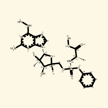 CCCNc1nc(N)nc2c1ncn2[C@@H]1O[C@](F)(CO[P@@](=O)(N[C@@H](C)C(=O)OC(C)C)Oc2ccccc2)[C@@H](O)[C@@]1(C)F